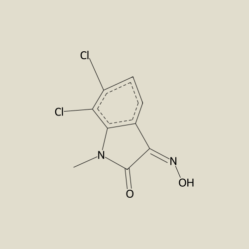 CN1C(=O)C(=NO)c2ccc(Cl)c(Cl)c21